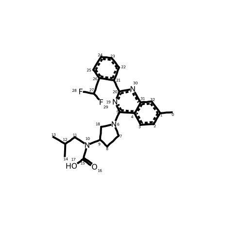 Cc1ccc2c(N3CCC(N(CC(C)C)C(=O)O)C3)nc(-c3ccccc3C(F)F)nc2c1